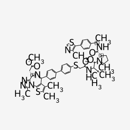 COC(=O)C[C@@H]1N=C(c2ccc(-c3ccc(SCC(=O)NC(C(=O)N4CCC[C@H]4C(=O)N[C@@H](C)c4ccc(-c5scnc5C)cc4)C(C)(C)C)cc3)cc2)c2c(sc(C)c2C)-n2c(C)nnc21